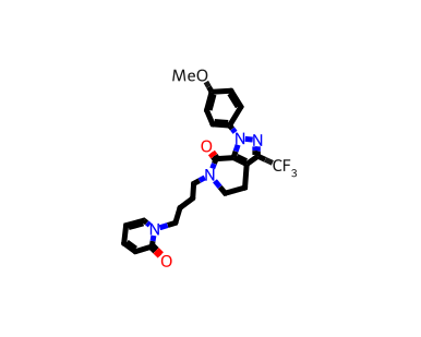 COc1ccc(-n2nc(C(F)(F)F)c3c2C(=O)N(CCCCn2ccccc2=O)CC3)cc1